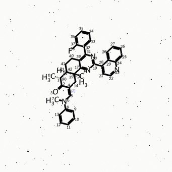 C[C@H]1C(=O)/C(=C\N(C)c2ccccc2)C[C@@]2(C)c3nc(-c4ccnc5ccccc45)nc(-c4ccccc4F)c3CC[C@H]12